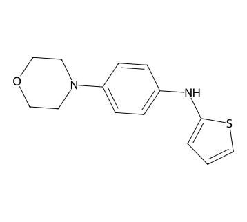 c1csc(Nc2ccc(N3CCOCC3)cc2)c1